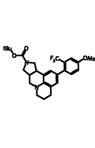 COc1ccc(-c2cc3c4c(c2)C2CN(C(=O)OC(C)(C)C)CC2CN4CCC3)c(C(F)(F)F)c1